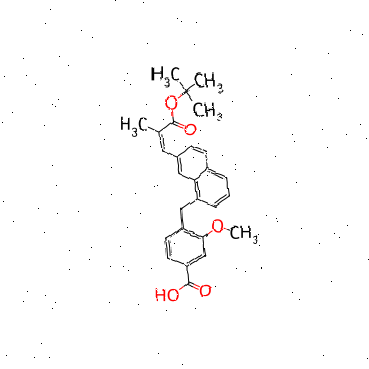 COc1cc(C(=O)O)ccc1Cc1cccc2ccc(C=C(C)C(=O)OC(C)(C)C)cc12